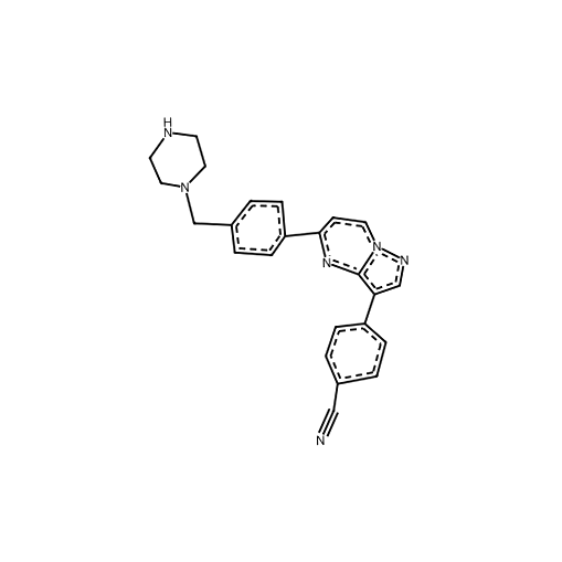 N#Cc1ccc(-c2cnn3ccc(-c4ccc(CN5CCNCC5)cc4)nc23)cc1